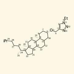 CCn1cc(CO[C@H]2CC[C@@]3(C)C(CCC4C3CC[C@@]3(C)C4CCC3[C@H](C)CCCC(C)C)C2)nn1